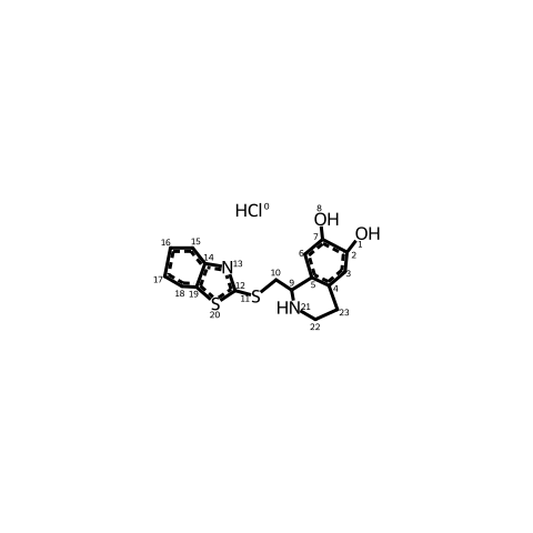 Cl.Oc1cc2c(cc1O)C(CSc1nc3ccccc3s1)NCC2